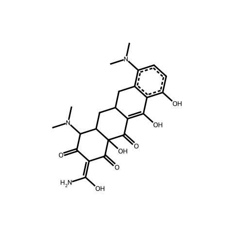 CN(C)c1ccc(O)c2c1CC1CC3C(N(C)C)C(=O)C(=C(N)O)C(=O)C3(O)C(=O)C1=C2O